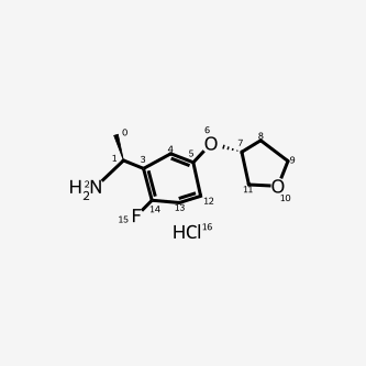 C[C@H](N)c1cc(O[C@@H]2CCOC2)ccc1F.Cl